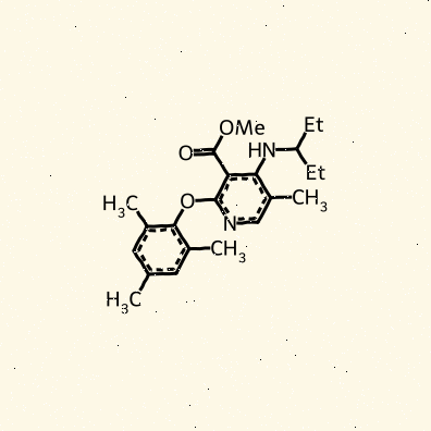 CCC(CC)Nc1c(C)cnc(Oc2c(C)cc(C)cc2C)c1C(=O)OC